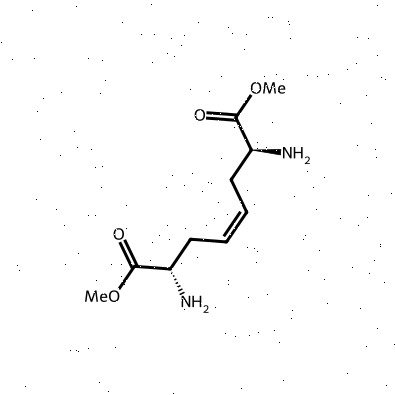 COC(=O)[C@@H](N)C/C=C\C[C@H](N)C(=O)OC